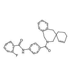 O=C(Nc1ccc(C(=O)N2Cc3ccccc3CC3(C=CCCC3)C2)cc1)c1ccccc1F